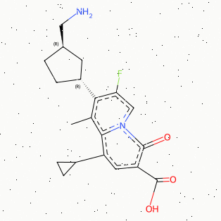 Cc1c([C@@H]2CC[C@@H](CN)C2)c(F)cn2c(=O)c(C(=O)O)cc(C3CC3)c12